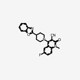 Cn1c(=O)c(C#N)c(N2CCC(c3nc4ccccc4o3)CC2)c2cc(F)ccc21